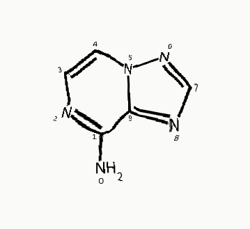 Nc1n[c]cn2ncnc12